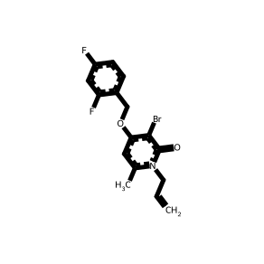 C=CCn1c(C)cc(OCc2ccc(F)cc2F)c(Br)c1=O